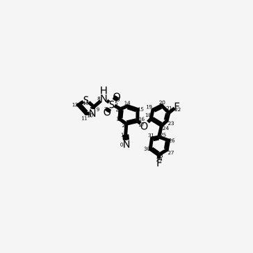 N#Cc1cc(S(=O)(=O)Nc2nccs2)ccc1Oc1ccc(F)cc1-c1ccc(F)cc1